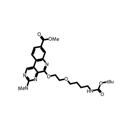 CNc1ncc2c(n1)c(OCCOCCCCNC(=O)OC(C)(C)C)nc1cc(C(=O)OC)ccc12